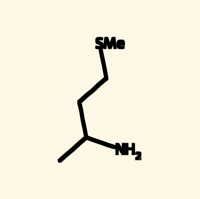 CSCCC(C)N